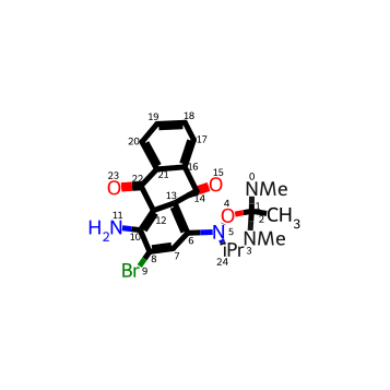 CNC(C)(NC)ON(c1cc(Br)c(N)c2c1C(=O)c1ccccc1C2=O)C(C)C